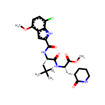 COC(=O)[C@H](C[C@@H]1CCCNC1=O)NC(=O)[C@H](CC(C)(C)C)NC(=O)c1cc2c(OC)ccc(Cl)c2[nH]1